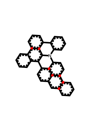 c1ccc(-c2ccc(N(c3ccccc3-c3ccccc3)c3ccc4ccccc4c3-c3ccc4ccccc4c3)cc2)cc1